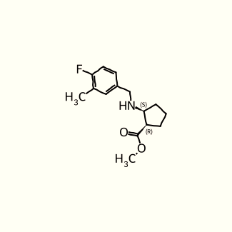 COC(=O)[C@@H]1CCC[C@@H]1NCc1ccc(F)c(C)c1